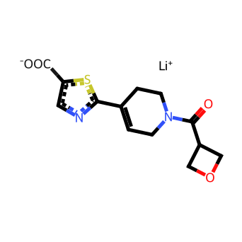 O=C([O-])c1cnc(C2=CCN(C(=O)C3COC3)CC2)s1.[Li+]